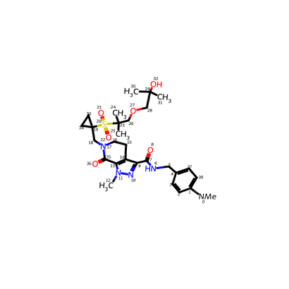 CNc1ccc(CNC(=O)c2nn(C)c3c2CCN(CC2(S(=O)(=O)C(C)(C)COCC(C)(C)O)CC2)C3=O)cc1